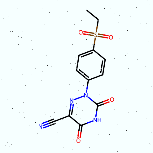 CCS(=O)(=O)c1ccc(-n2nc(C#N)c(=O)[nH]c2=O)cc1